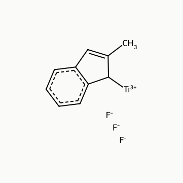 CC1=Cc2ccccc2[CH]1[Ti+3].[F-].[F-].[F-]